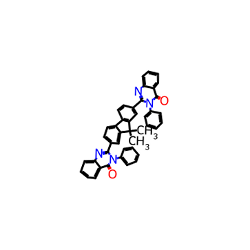 CC1(C)c2cc(-c3nc4ccccc4c(=O)n3-c3ccccc3)ccc2-c2ccc(-c3nc4ccccc4c(=O)n3-c3ccccc3)cc21